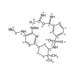 CNc1nc(C2CCC(C)(C)C(NS(=O)(=O)c3cccc(C(=N)OC(C)=N)c3)C2)ccc1NCC(C)(C)C